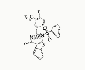 CNC(=O)c1c(N(Cc2ccc(F)c(C(F)(F)F)c2)S(=O)(=O)c2ccccc2)sc2ccccc12